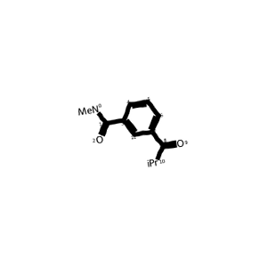 CNC(=O)c1cccc(C(=O)C(C)C)c1